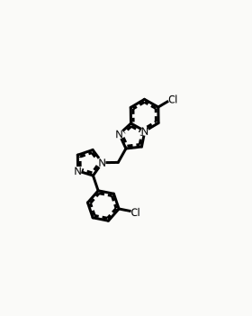 Clc1cccc(-c2nccn2Cc2cn3cc(Cl)ccc3n2)c1